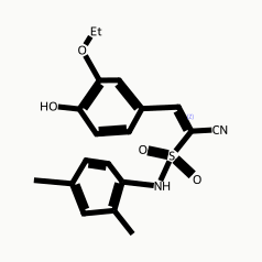 CCOc1cc(/C=C(/C#N)S(=O)(=O)Nc2ccc(C)cc2C)ccc1O